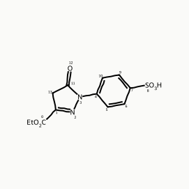 CCOC(=O)C1=NN(c2ccc(S(=O)(=O)O)cc2)C(=O)C1